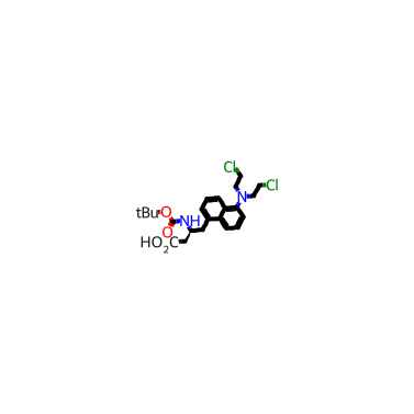 CC(C)(C)OC(=O)N[C@H](CC(=O)O)Cc1cccc2c(N(CCCl)CCCl)cccc12